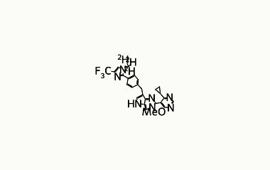 [2H]C([2H])([2H])n1cc(C(F)(F)F)nc1-c1ccc(Cc2c[nH]c3cnc(-c4c(OC)ncnc4C4CC4)nc23)cc1